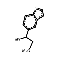 CCCC(CNC)c1ccc2sccc2c1